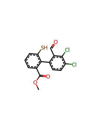 COC(=O)c1cccc(S)c1-c1ccc(Cl)c(Cl)c1C=O